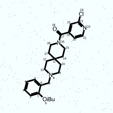 CC(C)COc1ccccc1CN1CCC2(CC1)CCN(C(=O)c1ccnc(Cl)c1)CC2